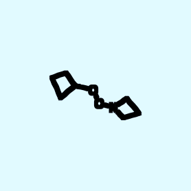 C1C[C](OON2CCC2)C1